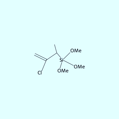 C=C(Cl)C(C)[Si](OC)(OC)OC